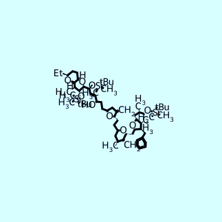 C=C1CC(CCC(O)/C=C/[C@H](O[Si](C)(C)C(C)(C)C)[C@@H]2O[C@H]3CC[C@H](CC)O[C@@H]3[C@H](C)[C@@H]2O[Si](C)(C)C(C)(C)C)O[C@H]1CCC1C[C@@H](C)C(=C)[C@@H](CC2O[C@H](C[C@H](C)CO[Si](C)(C)C(C)(C)C)[C@H](C)[C@H]2Cc2ccccc2)O1